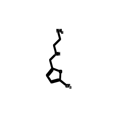 NCCNCc1ccc(C(F)(F)F)o1